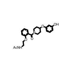 CC(=O)NCCOc1ccccc1C(=O)N1CCC(Oc2cccc(O)c2)CC1